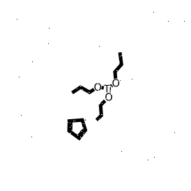 CCC[O][Ti]([O]CCC)[O]CCC.[CH]1C=CC=C1